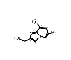 OCc1cn2cc(Br)cc(C(F)(F)F)c2n1